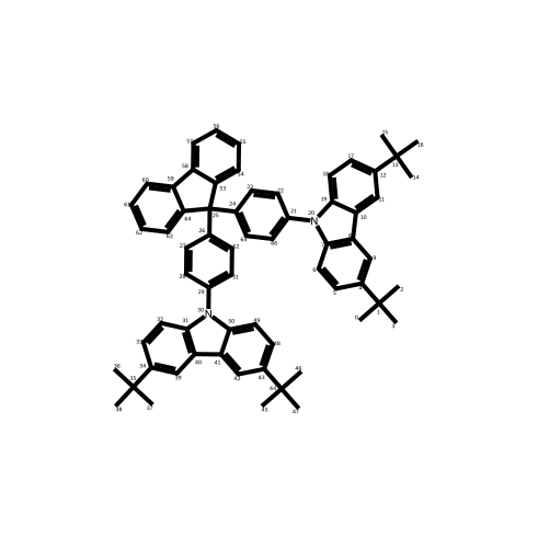 CC(C)(C)c1ccc2c(c1)c1cc(C(C)(C)C)ccc1n2-c1ccc(C2(c3ccc(-n4c5ccc(C(C)(C)C)cc5c5cc(C(C)(C)C)ccc54)cc3)c3ccccc3-c3ccccc32)cc1